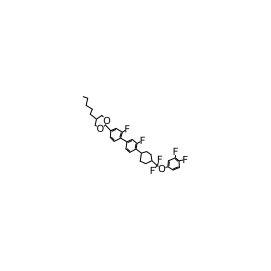 CCCCCC1COC(c2ccc(-c3ccc(C4CCC(C(F)(F)Oc5ccc(F)c(F)c5)CC4)c(F)c3)c(F)c2)OC1